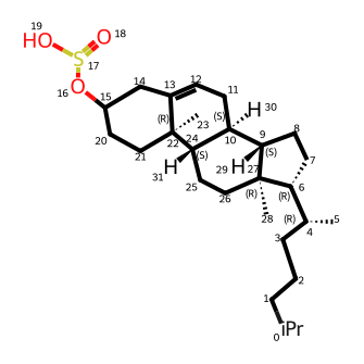 CC(C)CCC[C@@H](C)[C@H]1CC[C@H]2[C@@H]3CC=C4CC(OS(=O)O)CC[C@]4(C)[C@H]3CC[C@]12C